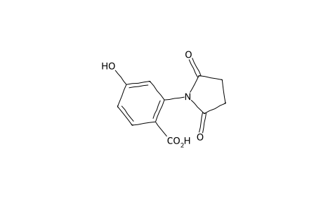 O=C(O)c1ccc(O)cc1N1C(=O)CCC1=O